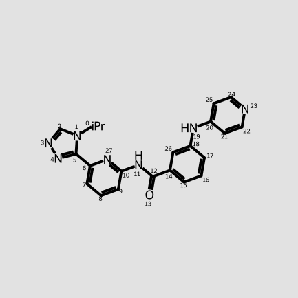 CC(C)n1cnnc1-c1cccc(NC(=O)c2cccc(Nc3ccncc3)c2)n1